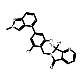 [2H]C1([2H])c2ncccc2C(=O)N1Cc1c(Cl)cc(-c2cccc3nn(C)cc23)cc1Cl